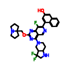 Oc1cc(-c2ncc3c(N4CCC5NCC(F)(F)C5C4)nc(OCC45CCCN4CCC5)nc3c2F)c2ccccc2c1